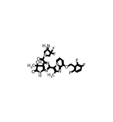 Cc1nc2c(OCc3c(F)ccc(F)c3F)cccn2c1-c1nc2c(c(C(=O)N3CC(N)C(F)(F)C3)n1)C(C)(C)C(=O)N2